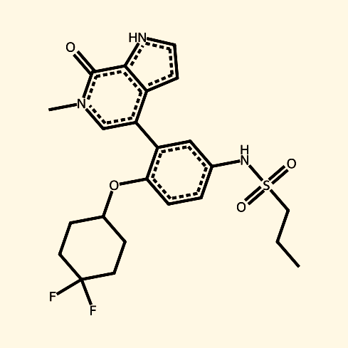 CCCS(=O)(=O)Nc1ccc(OC2CCC(F)(F)CC2)c(-c2cn(C)c(=O)c3[nH]ccc23)c1